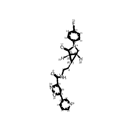 O=C(NCC[C@@H]1[C@H]2CN(c3ccc(F)cc3)C(=O)[C@@H]12)c1cc(-c2cccnc2)on1